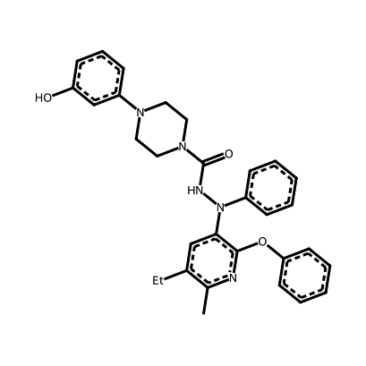 CCc1cc(N(NC(=O)N2CCN(c3cccc(O)c3)CC2)c2ccccc2)c(Oc2ccccc2)nc1C